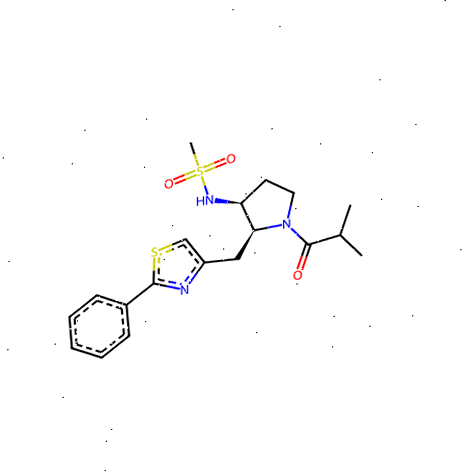 CC(C)C(=O)N1CC[C@H](NS(C)(=O)=O)[C@@H]1Cc1csc(-c2ccccc2)n1